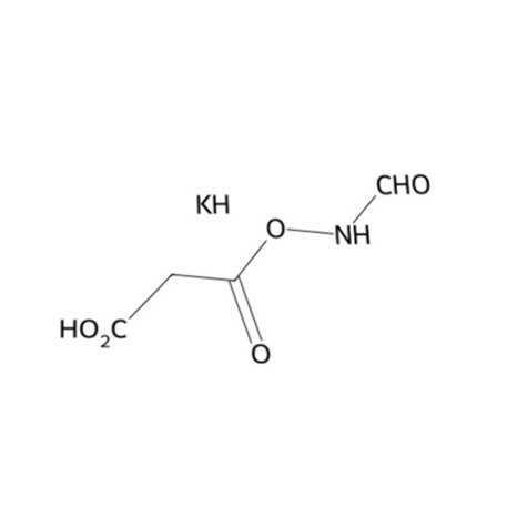 O=CNOC(=O)CC(=O)O.[KH]